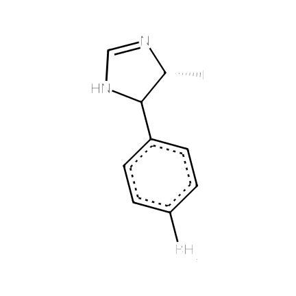 Bc1ccc(C2NC=N[C@@H]2I)cc1